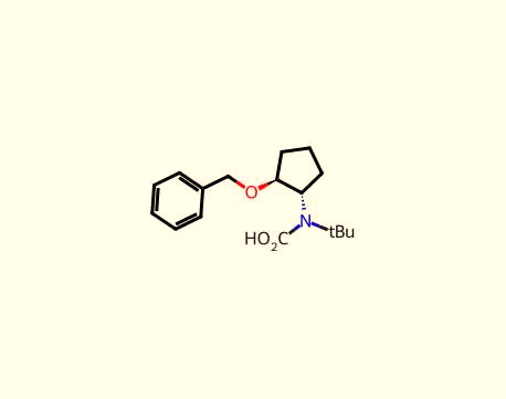 CC(C)(C)N(C(=O)O)[C@H]1CCC[C@@H]1OCc1ccccc1